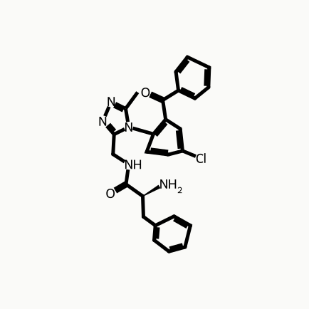 Cc1nnc(CNC(=O)[C@@H](N)Cc2ccccc2)n1-c1ccc(Cl)cc1C(=O)c1ccccc1